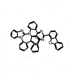 c1ccc(-c2nc(-c3ccccc3N3c4ccccc4-c4ccccc4-n4c3nc3ccccc34)nc(-c3cccc4c3oc3ccccc34)n2)cc1